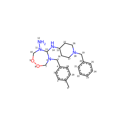 Cc1ccc(CN2COOCN(N)C2NC2CCN(Cc3ccccc3)CC2)cc1